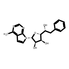 Cc1ncnc2c1ccn2[C@@H]1O[C@H]([C@H](O)Cc2ccccc2)[C@@H](O)[C@H]1O